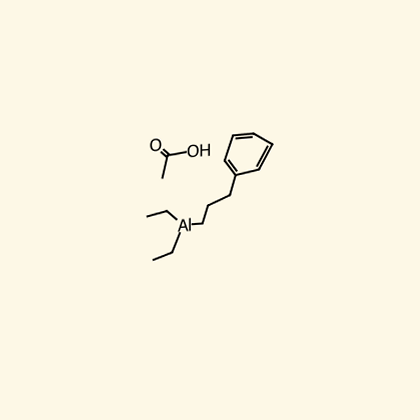 CC(=O)O.C[CH2][Al]([CH2]C)[CH2]CCc1ccccc1